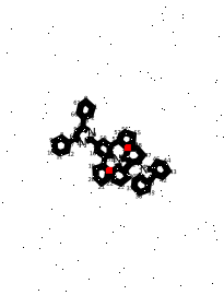 c1ccc(-c2cc(-c3ccccc3)nc(-c3cc(-c4ccccc4)c(-n4c5ccccc5c5c(-n6c7ccccc7c7ccccc76)cccc54)c(-c4ccccc4)c3)n2)cc1